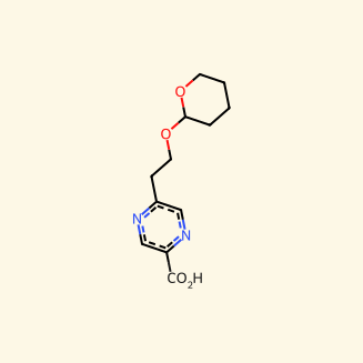 O=C(O)c1cnc(CCOC2CCCCO2)cn1